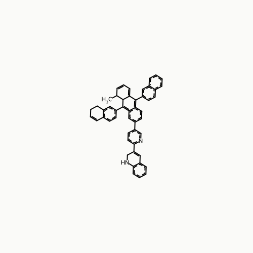 CC1C=CC=C2C(c3ccc4ccccc4c3)=c3ccc(-c4ccc(C5=Cc6ccccc6NC5)nc4)cc3=C(c3ccc4c(c3)CCC=C4)C21